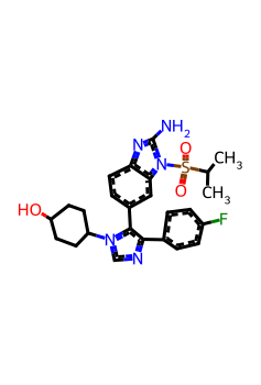 CC(C)S(=O)(=O)n1c(N)nc2ccc(-c3c(-c4ccc(F)cc4)ncn3C3CCC(O)CC3)cc21